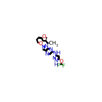 C[C@H]([C@@H]1COC2=CCCOC21)n1ncc2ncc(Nc3cc(OC(F)F)[nH]n3)nc21